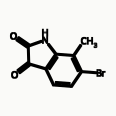 Cc1c(Br)ccc2c1NC(=O)C2=O